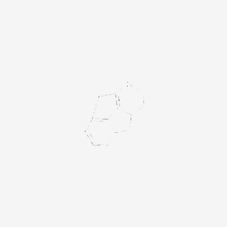 c1cc2c3c(c1)sc1ccnc(c13)C2